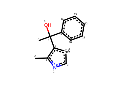 Cc1nc[se]c1C(C)(O)c1ccccc1